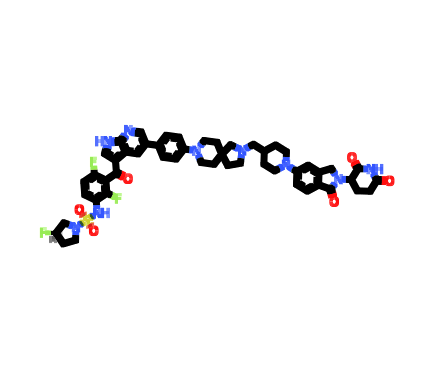 O=C1CCC(N2Cc3cc(N4CCC(CN5CCC6(CCN(c7ccc(-c8cnc9[nH]cc(C(=O)c%10c(F)ccc(NS(=O)(=O)N%11CC[C@@H](F)C%11)c%10F)c9c8)cc7)CC6)C5)CC4)ccc3C2=O)C(=O)N1